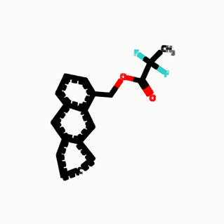 CC(F)(F)C(=O)OCc1cccc2cc3ccccc3cc12